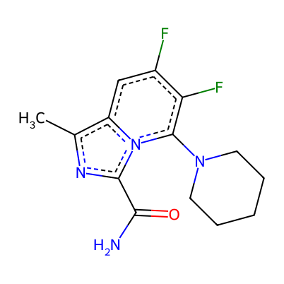 Cc1nc(C(N)=O)n2c(N3CCCCC3)c(F)c(F)cc12